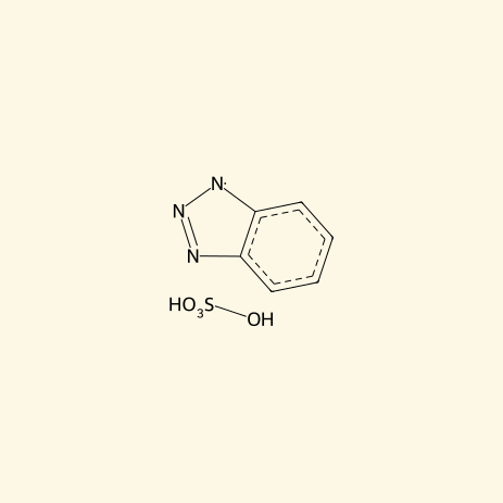 O=S(=O)(O)O.c1ccc2c(c1)[N]N=N2